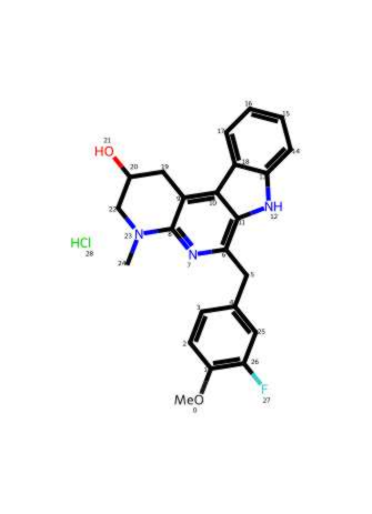 COc1ccc(Cc2nc3c(c4c2[nH]c2ccccc24)CC(O)CN3C)cc1F.Cl